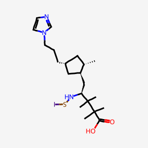 C[C@H]1C[C@@H](CCCn2ccnc2)C[C@@H]1C[C@H](NSI)C(C)(C)C(C)(C)C(=O)O